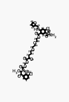 CC(C(=O)c1cccc(Cl)c1)N(C(=O)OCOC(=O)C(=O)CCCOCCOCCOC(=O)c1cc(S(N)(=O)=O)c(Cl)cc1NCc1ccco1)C(C)(C)C